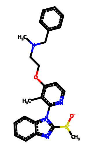 Cc1c(OCCN(C)Cc2ccccc2)ccnc1-n1c([S+](C)[O-])nc2ccccc21